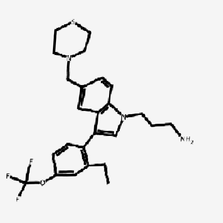 CCc1cc(OC(F)(F)F)ccc1-c1cn(CCCN)c2ccc(CN3CCSCC3)cc12